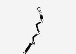 O=C=NCSCN=C=O